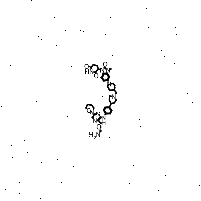 Cn1c(=O)n(C2CCC(=O)NC2=O)c2ccc(N3CCC(CN4CCC(c5ccc(Nc6nc(N7CCCCC7)cnc6COCN)cc5)CC4)CC3)cc21